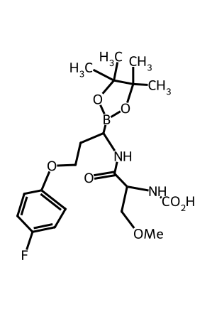 COCC(NC(=O)O)C(=O)NC(CCOc1ccc(F)cc1)B1OC(C)(C)C(C)(C)O1